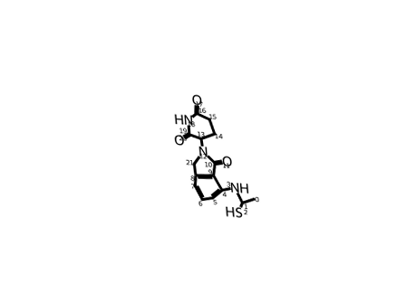 CC(S)Nc1cccc2c1C(=O)N(C1CCC(=O)NC1=O)C2